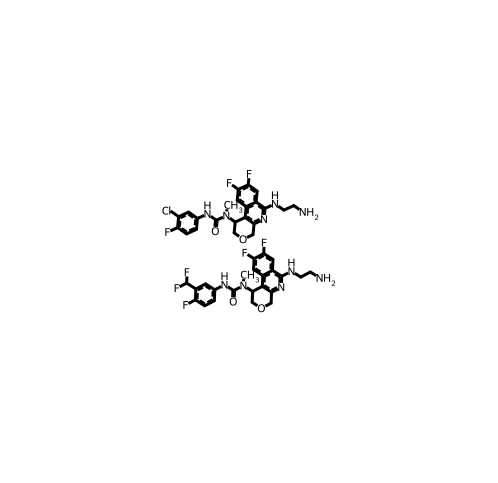 CN(C(=O)Nc1ccc(F)c(C(F)F)c1)C1COCc2nc(NCCN)c3cc(F)c(F)cc3c21.CN(C(=O)Nc1ccc(F)c(Cl)c1)C1COCc2nc(NCCN)c3cc(F)c(F)cc3c21